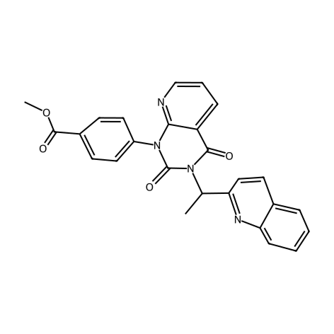 COC(=O)c1ccc(-n2c(=O)n(C(C)c3ccc4ccccc4n3)c(=O)c3cccnc32)cc1